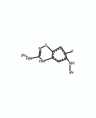 CC(C)NC1=NSc2cc(F)c(NC(C)C)cc2N1